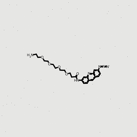 [N-]=[N+]=Nc1ccc2cc3ccc(NC(=O)CCOCCOCCOCCOCCN)cc3nc2c1